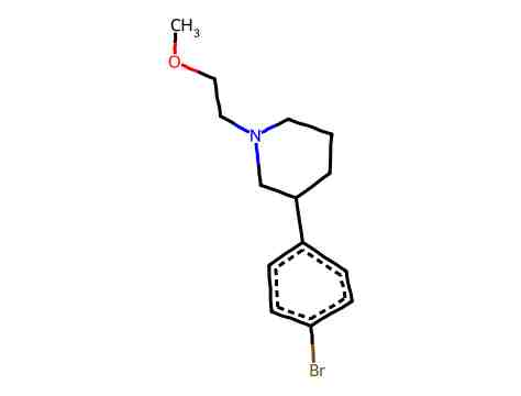 COCCN1CCCC(c2ccc(Br)cc2)C1